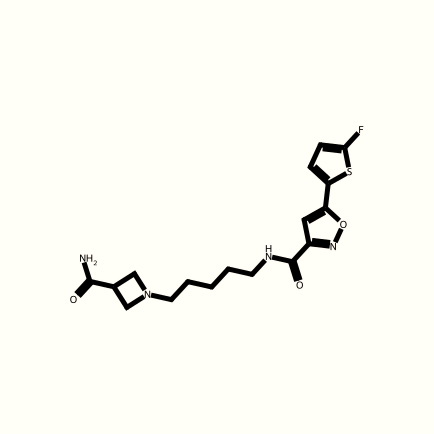 NC(=O)C1CN(CCCCCNC(=O)c2cc(-c3ccc(F)s3)on2)C1